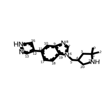 CC1(C)CC(Cn2cnc3cc(-c4cn[nH]c4)ccc32)CN1